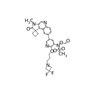 CN1C(=O)C2(CCC2)c2c1cnc1ccc(-c3cnc(OCCCN4CC(F)(F)C4)c(N(OC=O)S(C)(=O)=O)c3)cc21